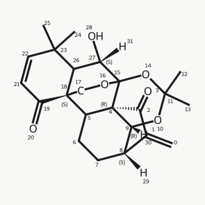 C=C1C(=O)[C@@]23C4CC[C@@H]1[C@H]2OC(C)(C)OC31OC[C@]42C(=O)C=CC(C)(C)C2[C@@H]1O